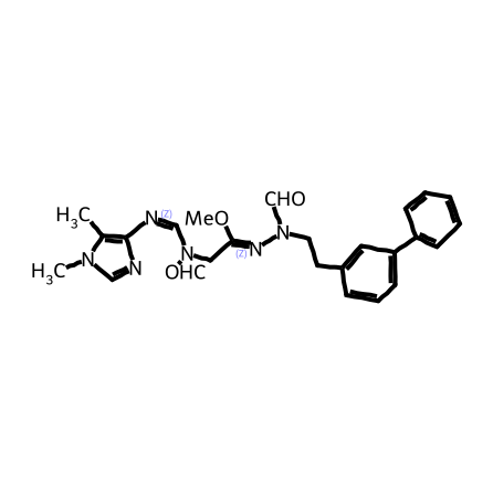 CO/C(CN(C=O)/C=N\c1ncn(C)c1C)=N\N(C=O)CCc1cccc(-c2ccccc2)c1